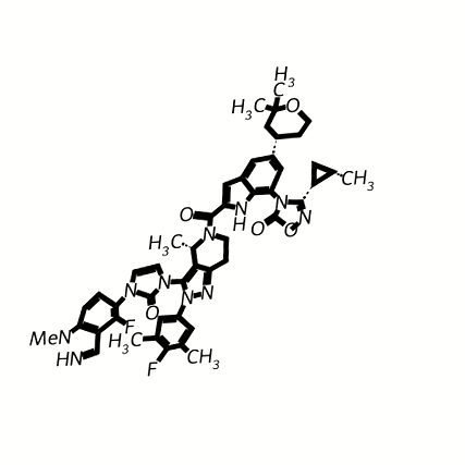 CNc1ccc(-n2ccn(-c3c4c(nn3-c3cc(C)c(F)c(C)c3)CCN(C(=O)c3cc5cc([C@H]6CCOC(C)(C)C6)cc(-n6c([C@@H]7C[C@@H]7C)noc6=O)c5[nH]3)[C@H]4C)c2=O)c(F)c1C=N